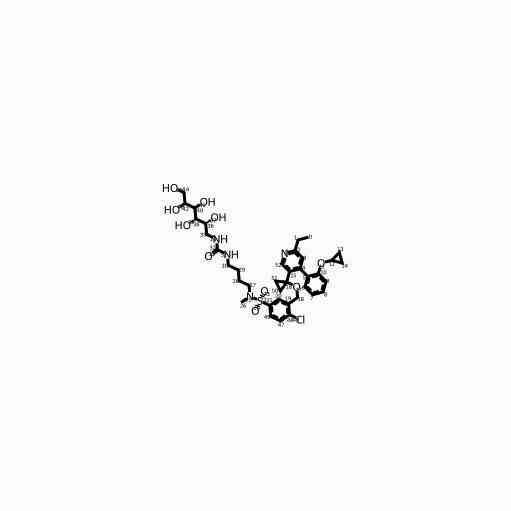 CCc1cc(-c2ccccc2OC2CC2)c(C2(OCc3cc(S(=O)(=O)N(C)CCCCNC(=O)NC[C@H](O)[C@@H](O)C(O)C(O)CO)ccc3Cl)CC2)cn1